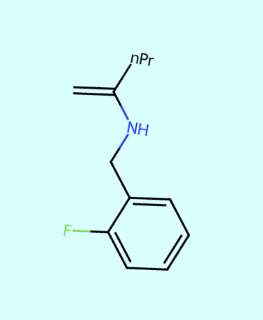 C=C(CCC)NCc1ccccc1F